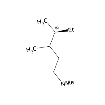 CC[C@H](C)C(C)CCNC